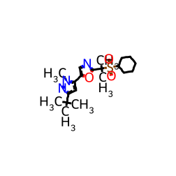 Cn1nc(C(C)(C)C)cc1-c1cnc(C(C)(C)S(=O)(=O)C2CCCCC2)o1